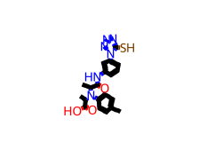 Cc1ccc(N(C(C)C(=O)O)C(C)C(=O)Nc2cccc(-n3nnnc3S)c2)cc1